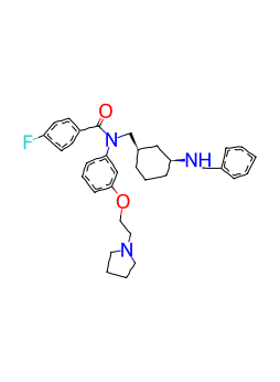 O=C(c1ccc(F)cc1)N(C[C@@H]1CCC[C@H](NCc2ccccc2)C1)c1cccc(OCCN2CCCC2)c1